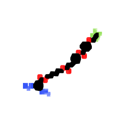 Nc1cc(N)cc(C(=O)OCCCCCCOC(=O)C=Cc2ccc(OC(=O)c3ccc(OCC(F)(F)C(F)F)cc3)cc2)c1